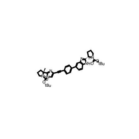 CC(C)(C)OC(=O)N1CCC[C@H]1c1nc2cc(-c3ccc(C#Cc4c[nH]c([C@@]5(C)CCCN5C(=O)OC(C)(C)C)n4)cc3)ccc2[nH]1